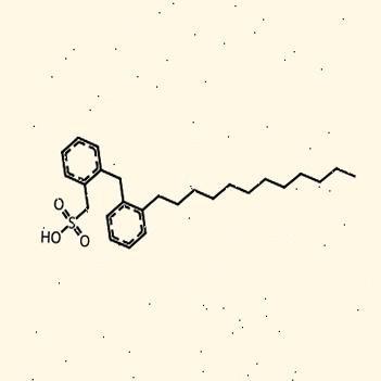 CCCCCCCCCCCCc1ccccc1Cc1ccccc1CS(=O)(=O)O